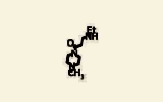 CCNCCC(=O)N1CCN(C)CC1